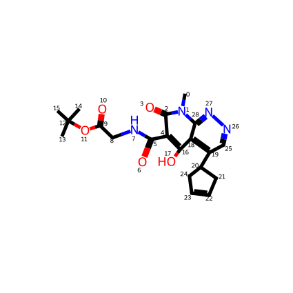 Cn1c(=O)c(C(=O)NCC(=O)OC(C)(C)C)c(O)c2c(C3CC=CC3)cnnc21